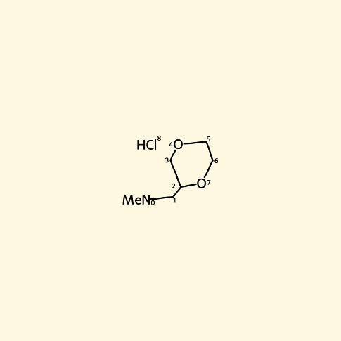 CNCC1COCCO1.Cl